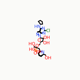 O=P(O)(O)C(CO)(Cc1cccc(CO)n1)OC[C@H]1O[C@@H](n2ncc3c(NC4CCCC4)nc(Cl)nc32)[C@H](O)[C@@H]1O